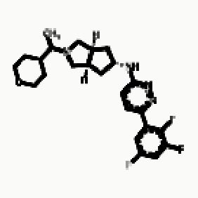 CC(C1CCOCC1)N1C[C@H]2C[C@H](Nc3ccc(-c4cc(F)cc(F)c4F)nn3)C[C@H]2C1